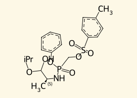 Cc1ccc(S(=O)(=O)OCP(=O)(N[C@@H](C)C(O)OC(C)C)Oc2ccccc2)cc1